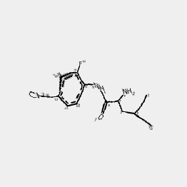 CC(C)CC(N)C(=O)Nc1ccc(Cl)cc1F